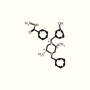 C[C@@H]1CN([C@H](c2ccc(C(=O)NN)cc2)c2cccc(O)c2)[C@@H](C)CN1Cc1ccccc1